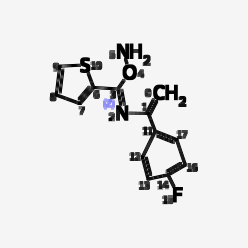 C=C(/N=C(\ON)c1cccs1)c1ccc(F)cc1